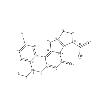 CCN(Cc1cc(=O)n2c3c(sc2n1)CCC3C(=O)O)c1ccc(F)cc1